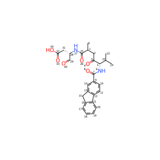 CC(CC(=O)[C@@H](NC(=O)c1ccc2c(c1)Cc1ccccc1-2)C(C)C)C(=O)N[C@H](C=O)CC(=O)O